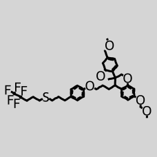 COCOc1ccc2c(c1)OCC(C)(C1=CC=C(COC)CC1=O)C2CCCOc1ccc(CCCSCCCC(F)(F)C(F)(F)F)cc1